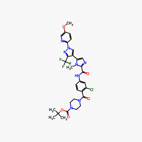 COc1ccc(-n2cc(-c3cnc(C(=O)Nc4ccc(C(=O)N5CCN(C(=O)OC(C)(C)C)CC5)c(Cl)c4)n3C)c(C(F)(F)F)n2)nc1